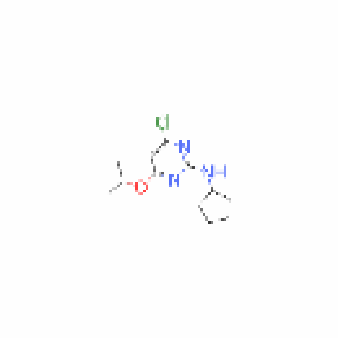 CC(C)Oc1cc(Cl)nc(NC2CCCC2)n1